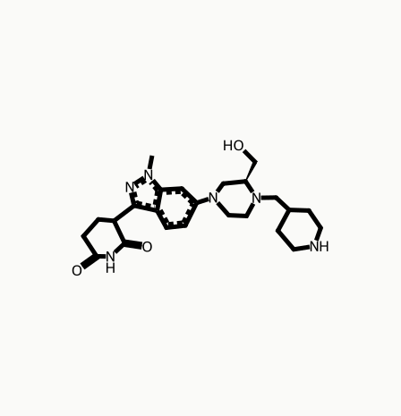 Cn1nc(C2CCC(=O)NC2=O)c2ccc(N3CCN(CC4CCNCC4)[C@H](CO)C3)cc21